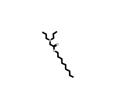 CCCCCCCCCOC(=O)CN(CCC)CCC